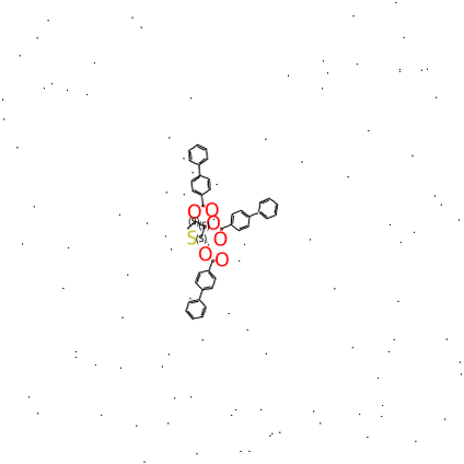 O=C(OC[C@@H]1SC[C@@H](OC(=O)c2ccc(-c3ccccc3)cc2)[C@@H]1OC(=O)c1ccc(-c2ccccc2)cc1)c1ccc(-c2ccccc2)cc1